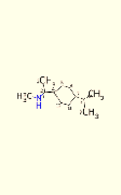 CNC(C)C1CCC(C(C)C)CC1